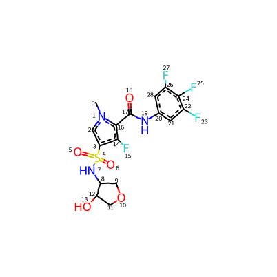 Cn1cc(S(=O)(=O)NC2COCC2O)c(F)c1C(=O)Nc1cc(F)c(F)c(F)c1